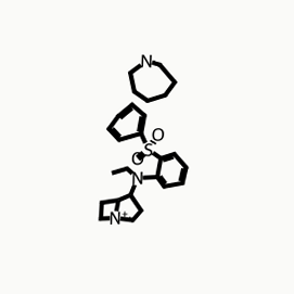 C1CCC[N]CC1.CCN(c1ccccc1S(=O)(=O)c1ccccc1)C1CC[N+]2CCC12